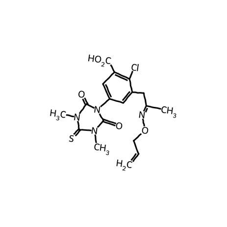 C=CCON=C(C)Cc1cc(-n2c(=O)n(C)c(=S)n(C)c2=O)cc(C(=O)O)c1Cl